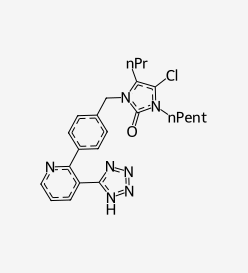 CCCCCn1c(Cl)c(CCC)n(Cc2ccc(-c3ncccc3-c3nnn[nH]3)cc2)c1=O